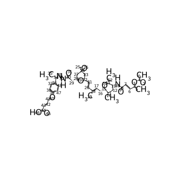 CC(=O)O[C@@H](C)C=CC(=O)N[C@@H]1C[C@H](C)[C@H](CC=C(C)C=C[C@@H]2C[C@]3(CO3)C[C@@H](CC(=O)NN=C(C)c3ccc(OCCCC(=O)O)cc3)O2)O[C@@H]1C